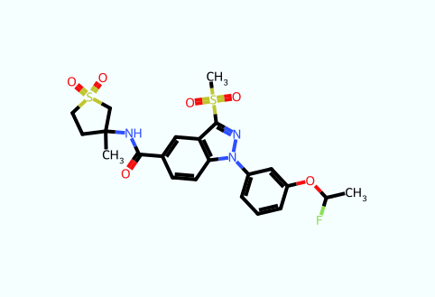 CC(F)Oc1cccc(-n2nc(S(C)(=O)=O)c3cc(C(=O)NC4(C)CCS(=O)(=O)C4)ccc32)c1